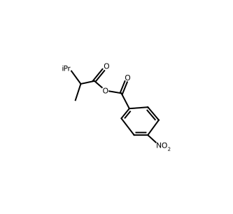 CC(C)C(C)C(=O)OC(=O)c1ccc([N+](=O)[O-])cc1